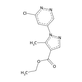 CCOC(=O)c1cnn(-c2cnnc(Cl)c2)c1C